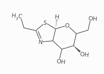 CCC1=NC2C(O)[C@H](O)C(CO)O[C@@H]2S1